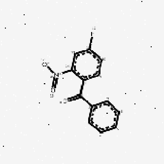 O=C(c1ccccc1)c1ccc(F)cc1[N+](=O)[O-]